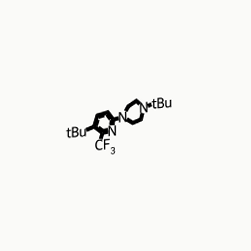 CC(C)(C)c1ccc(N2CCN(C(C)(C)C)CC2)nc1C(F)(F)F